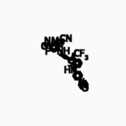 CNC(=O)c1cc(OCC#N)c(NCC#Cc2sc3c(NC4CCC(N5CCOCC5)CC4)cccc3c2CC(F)(F)F)cc1F